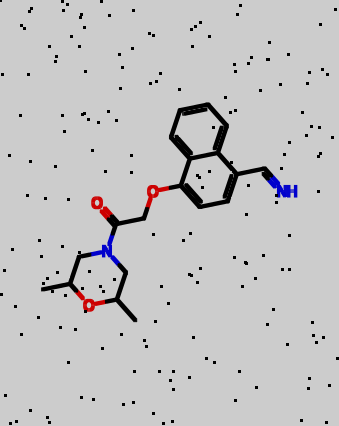 CC1CN(C(=O)COc2ccc(C=N)c3ccccc23)CC(C)O1